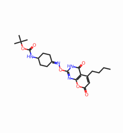 CCCCc1cc(=O)oc2nc(ON=C3CCC(NC(=O)OC(C)(C)C)CC3)[nH]c(=O)c12